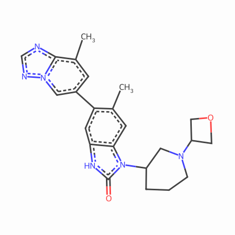 Cc1cc2c(cc1-c1cc(C)c3ncnn3c1)[nH]c(=O)n2C1CCCN(C2COC2)C1